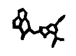 N#Cc1cc(C(=O)O)c2oc(CN3Cc4cccn5ncc(c45)C3=O)cc2c1